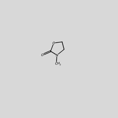 CN1CCOC1=O